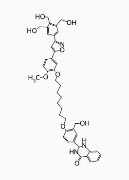 COc1ccc(-c2cc(-c3cc(CO)c(CO)c(CO)c3)no2)cc1OCCCCCCCCOc1ccc(C2NC(=O)c3ccccc3N2)cc1CO